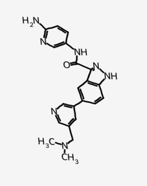 CN(C)Cc1cncc(-c2ccc3[nH]nc(C(=O)Nc4ccc(N)nc4)c3c2)c1